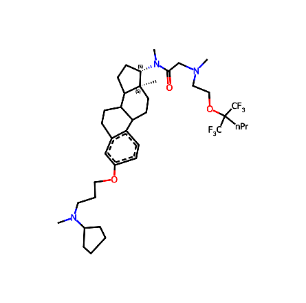 CCCC(OCCN(C)CC(=O)N(C)[C@H]1CCC2C3CCc4cc(OCCCN(C)C5CCCC5)ccc4C3CC[C@@]21C)(C(F)(F)F)C(F)(F)F